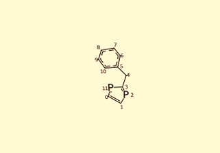 C1=CP=C(Cc2ccccc2)[P]1